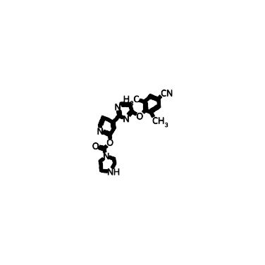 Cc1cc(C#N)cc(C)c1Oc1ccnc(-c2ccnc(OC(=O)N3CCNCC3)c2)n1